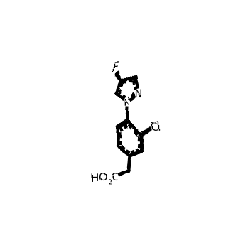 O=C(O)Cc1ccc(-n2cc(F)cn2)c(Cl)c1